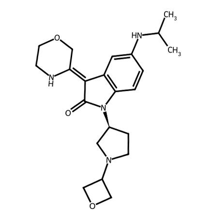 CC(C)Nc1ccc2c(c1)/C(=C1\COCCN1)C(=O)N2[C@H]1CCN(C2COC2)C1